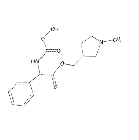 CN1CC[C@@H](COC(=O)C(NC(=O)OC(C)(C)C)c2ccccc2)C1